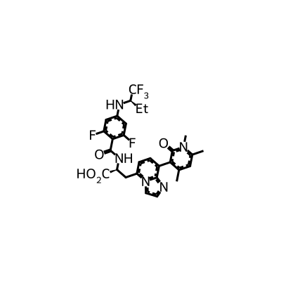 CC[C@@H](Nc1cc(F)c(C(=O)N[C@@H](Cc2ccc(-c3c(C)cc(C)n(C)c3=O)c3nccn23)C(=O)O)c(F)c1)C(F)(F)F